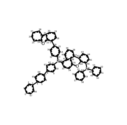 c1ccc(-c2ccc(-c3ccc(N(c4ccc(-c5cccc6c5oc5ccccc56)cc4)c4ccc5c6c(cccc46)-c4cccc(N(c6ccccc6)c6ccccc6)c4O5)cc3)cc2)cc1